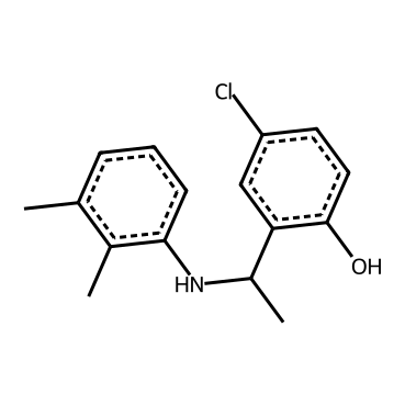 Cc1cccc(NC(C)c2cc(Cl)ccc2O)c1C